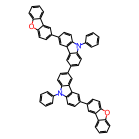 c1ccc(-n2c3ccc(-c4ccc5oc6ccccc6c5c4)cc3c3cc(-c4ccc5c(c4)c4cc(-c6ccc7oc8ccccc8c7c6)ccc4n5-c4ccccc4)ccc32)cc1